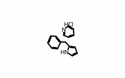 Cl.c1ccc(Cc2ccc[nH]2)cc1.c1ccncc1